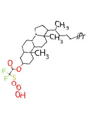 CC(C)CCCC(C)C1CCC2C3CCC4CC(OC(=O)C(F)(F)SOOO)CCC4(C)C3CCC12C